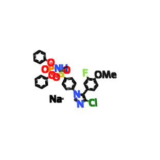 COc1ccc(-c2c(Cl)ncn2-c2ccc(S(=O)(=O)NP(=O)(Oc3ccccc3)Oc3ccccc3)cc2)cc1F.[Na]